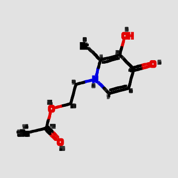 CCc1c(O)c(=O)ccn1CCOC(=O)C(C)(C)C